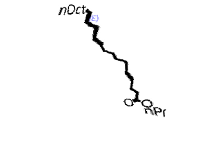 CCCCCCCC/C=C/CCCCCCCCCCCC(=O)OCCC